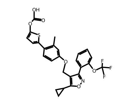 Cc1cc(OCc2c(-c3ccccc3OC(F)(F)F)noc2C2CC2)ccc1-c1ccc(OC(=O)O)s1